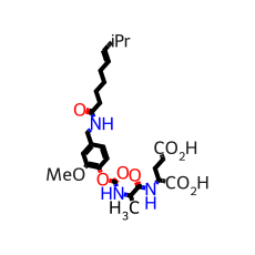 COc1cc(CNC(=O)CCCC/C=C/C(C)C)ccc1OC(=O)NC(C)C(=O)NC(CCC(=O)O)C(=O)O